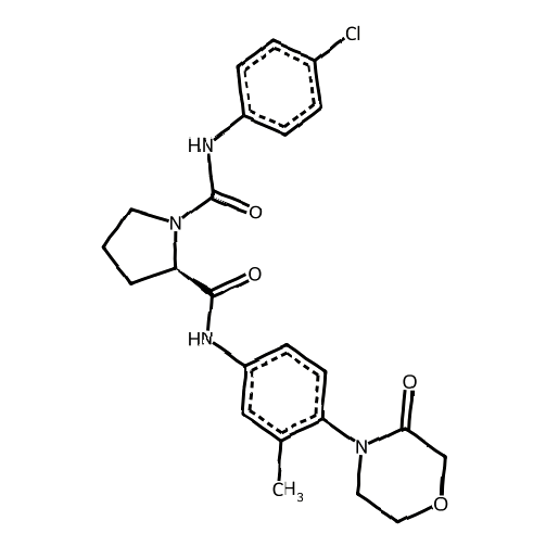 Cc1cc(NC(=O)[C@H]2CCCN2C(=O)Nc2ccc(Cl)cc2)ccc1N1CCOCC1=O